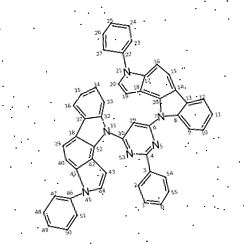 c1ccc(-c2nc(-n3c4ccccc4c4ccc5c(ccn5-c5ccccc5)c43)cc(-n3c4ccccc4c4ccc5c(ccn5-c5ccccc5)c43)n2)cc1